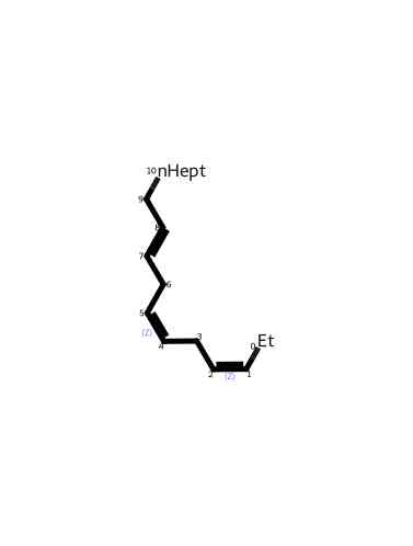 CC/C=C\C/C=C\CC=CCCCCCCCC